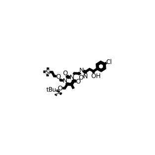 Cc1c(CO[Si](C)(C)C(C)(C)C)n(COCC[Si](C)(C)C)c(=O)n(Cc2nc(CC(O)c3ccc(Cl)cc3)no2)c1=O